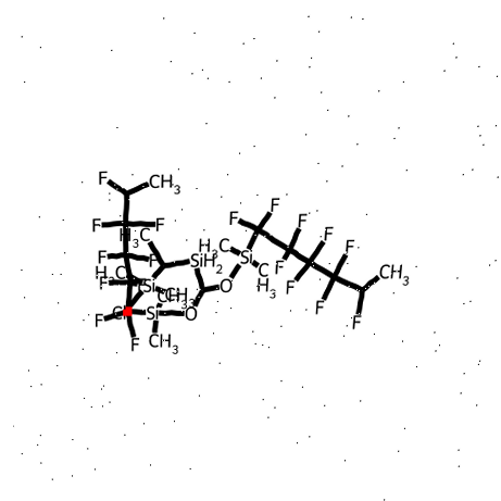 CC(F)C(F)(F)C(F)(F)C(F)(F)C(F)(F)[Si](C)(C)OC(O[Si](C)(C)C(F)(F)C(F)(F)C(F)(F)C(F)(F)C(C)F)[SiH2]C(C)[Si](C)(C)Cl